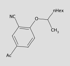 CCCCCCC(C)Oc1ccc(C(C)=O)cc1C#N